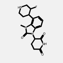 Cn1c(=O)n(C2CCC(=O)NC2=O)c2cccc(C3CCNCC3F)c21